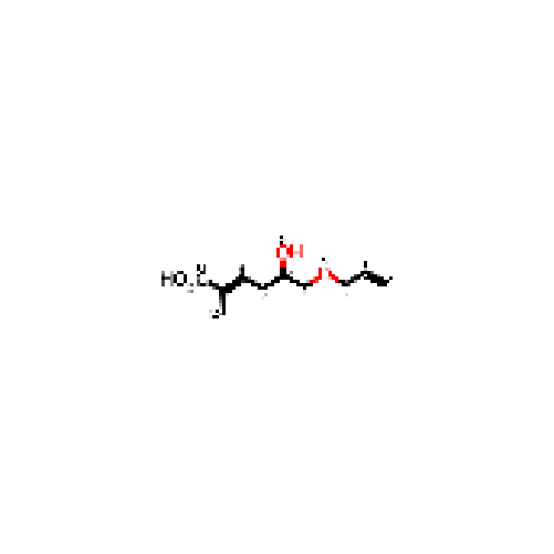 C=CCOCC(O)CC=C(C)C(=O)O